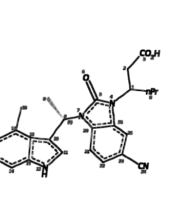 CCCC(CC(=O)O)n1c(=O)n([C@@H](C)c2c[nH]c3cccc(C)c23)c2ccc(C#N)cc21